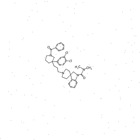 CN(C)C(=O)N1CC2(CCN(CCCC3(c4ccc(Cl)c(Cl)c4)CCCN(C(=O)c4ccccc4)C3)CC2)c2ccccc21